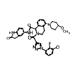 COC1CCN(c2cccc3c2CCN(C(=O)c2cn(-c4cccc(Cl)c4F)nn2)C3C(=O)Nc2ccc3c(c2)CC(=O)N3)CC1